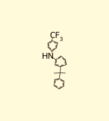 CC(C)(c1ccccc1)c1cccc(Nc2ccc(C(F)(F)F)cc2)c1